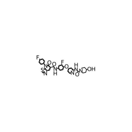 O=C(Nc1ccc(Oc2ccnc(NC(=O)N3CCC(O)CC3)c2)c(F)c1)c1cc2ncsc2n(-c2ccc(F)cc2)c1=O